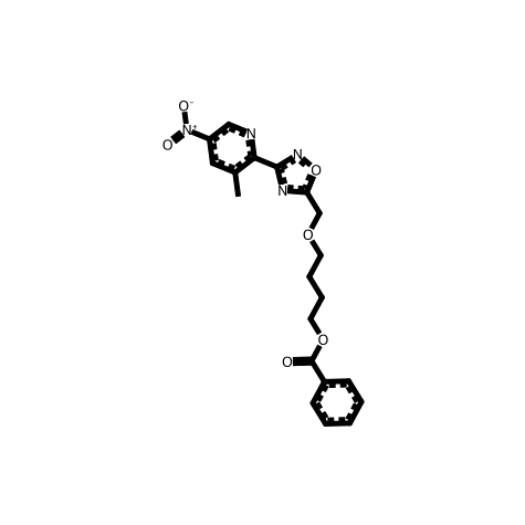 Cc1cc([N+](=O)[O-])cnc1-c1noc(COCCCCOC(=O)c2ccccc2)n1